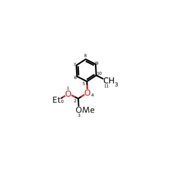 CCOC(OC)Oc1ccc[c]c1C